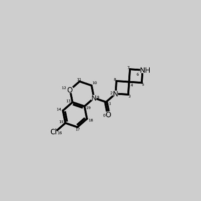 O=C(N1CC2(CNC2)C1)N1CCOc2cc(Cl)ccc21